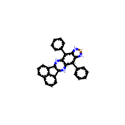 c1ccc(-c2c3nsnc3c(-c3ccccc3)c3nc4c(nc23)-c2cccc3cccc-4c23)cc1